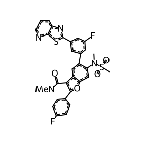 CNC(=O)c1c(-c2ccc(F)cc2)oc2cc(N(C)S(C)(=O)=O)c(-c3cc(F)cc(-c4nc5cccnc5s4)c3)cc12